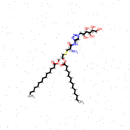 CCCCCCCCCCCCCC(=O)OC[C@H](CSC[C@@H](N)C(=O)Nc1cn(C[C@H](O)[C@H](O)[C@H](O)[C@H](O)CO)nn1)OC(=O)CCCCCCCCCCCCC